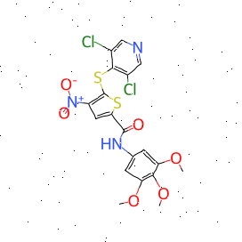 COc1cc(NC(=O)c2cc([N+](=O)[O-])c(Sc3c(Cl)cncc3Cl)s2)cc(OC)c1OC